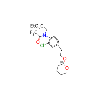 CCOC(=O)CN(C(=O)C(F)(F)F)c1ccc(CCO[C@@H]2CCCCO2)cc1Cl